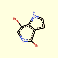 Brc1ncc(Br)c2[nH]ccc12